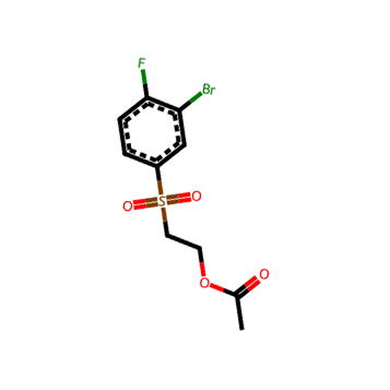 CC(=O)OCCS(=O)(=O)c1ccc(F)c(Br)c1